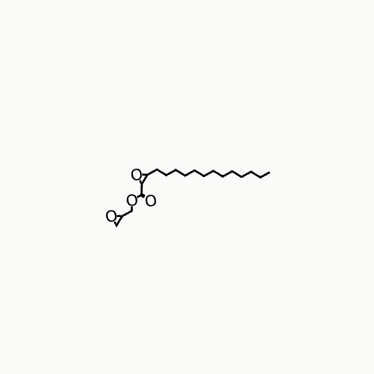 CCCCCCCCCCCCCC1OC1C(=O)OCC1CO1